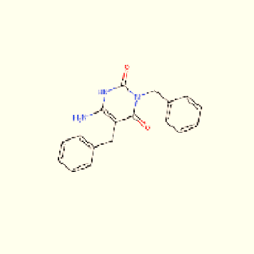 Nc1[nH]c(=O)n(Cc2ccccc2)c(=O)c1Cc1ccccc1